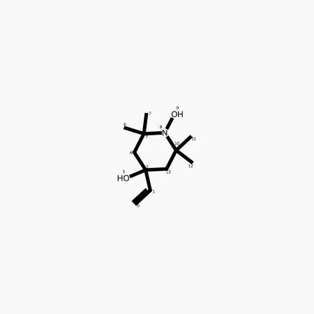 C=CC1(O)CC(C)(C)N(O)C(C)(C)C1